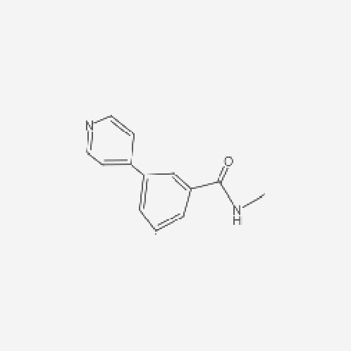 CNC(=O)c1c[c]cc(-c2ccncc2)c1